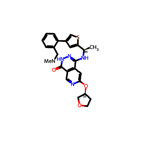 CNCc1ccccc1-c1csc([C@@H](C)Nc2n[nH]c(=O)c3cnc(O[C@H]4CCOC4)cc23)c1